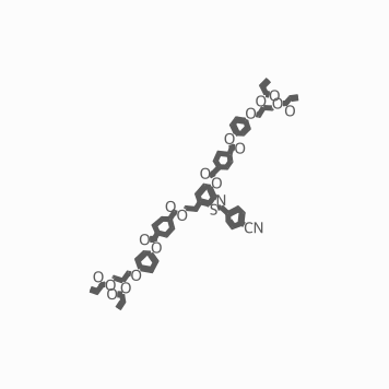 C=CC(=O)OCC(COc1ccc(OC(=O)C2CCC(C(=O)OCCc3ccc(OC(=O)C4CCC(C(=O)Oc5ccc(OCC(COC(=O)C=C)OC(=O)C=C)cc5)CC4)c4nc(-c5ccc(C#N)cc5)sc34)CC2)cc1)OC(=O)C=C